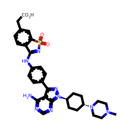 CN1CCN([C@H]2CC[C@H](n3nc(-c4ccc(NC5=NS(=O)(=O)c6cc(CC(=O)O)ccc65)cc4)c4c(N)ncnc43)CC2)CC1